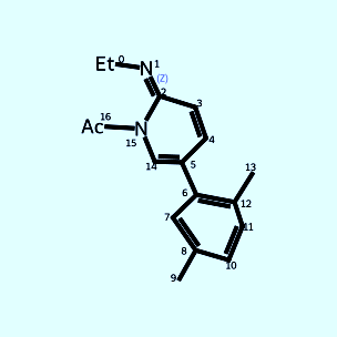 CC/N=c1/ccc(-c2cc(C)ccc2C)cn1C(C)=O